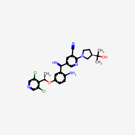 C[C@@H](Oc1ccc(N)c(C(=N)c2cnc(N3CC[C@@H](C(C)(C)O)C3)c(C#N)c2)c1)c1c(Cl)cncc1Cl